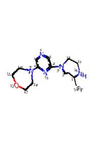 CC(C)C1CN(c2cncc(N3CCOCC3)n2)CCN1